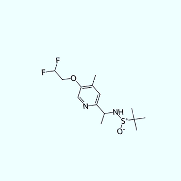 Cc1cc(C(C)N[S+]([O-])C(C)(C)C)ncc1OCC(F)F